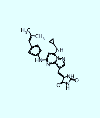 CC(C)=Cc1ccc(Nc2cc(NC3CC3)n3ncc(/C=C4\NC(=O)NC4=O)c3n2)cc1